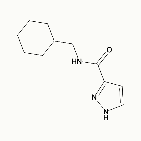 O=C(NCC1CCCCC1)c1cc[nH]n1